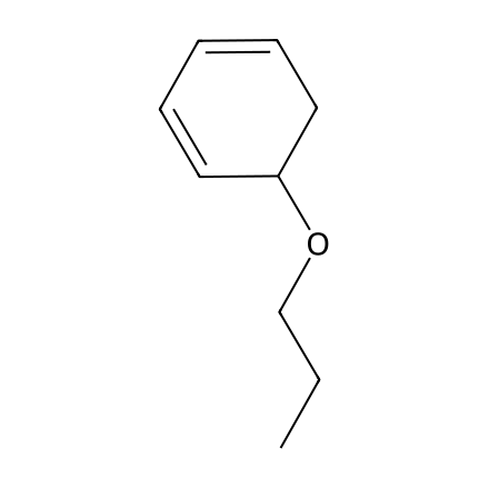 CCCOC1C=CC=CC1